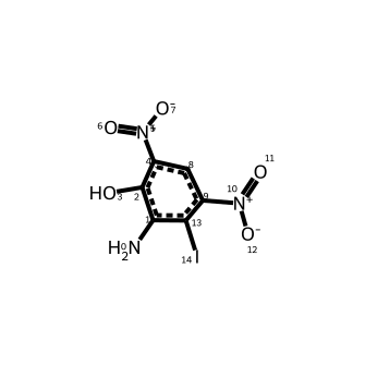 Nc1c(O)c([N+](=O)[O-])cc([N+](=O)[O-])c1I